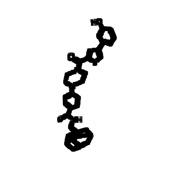 O=C(NCC12CC3CC(CC(C3)C1)C2)c1ccc(N2CCN(C(=O)c3cc(-c4cccc(O)c4)cs3)CC2)cc1